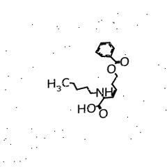 CCCCCNC(/C=C\CCOC(=O)c1ccccc1)C(=O)O